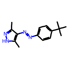 Cc1n[nH]c(C)c1N=Nc1ccc(C(C)(C)C)cc1